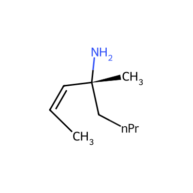 C/C=C\[C@](C)(N)CCCC